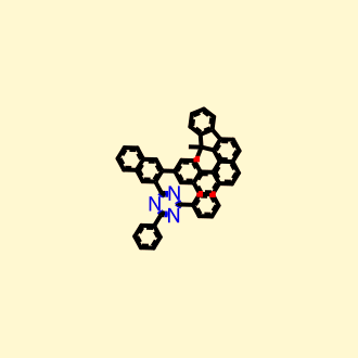 CC1(C)c2ccccc2-c2ccc3ccc4ccc5cc(-c6cc7ccccc7cc6-c6nc(-c7ccccc7)nc(-c7ccccc7)n6)ccc5c4c3c21